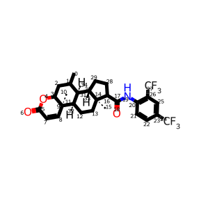 CC1CC2OC(=O)C=C[C@]2(C)[C@@H]2CC[C@]3(C)C(C(=O)Nc4ccc(C(F)(F)F)cc4C(F)(F)F)CC[C@H]3[C@H]12